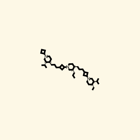 CCC[C@@H]1CN(C2CC(CCC[C@@H]3CCN(C4CCC4)C[C@H]3C(C)C)C2)CC[C@H]1CCCC1CC(N2CC[C@@H](CC)[C@H](C(C)C)C2)C1